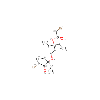 CCC(CC)(CCOC(CC)(CC)C(=O)CBr)OC(=O)CBr